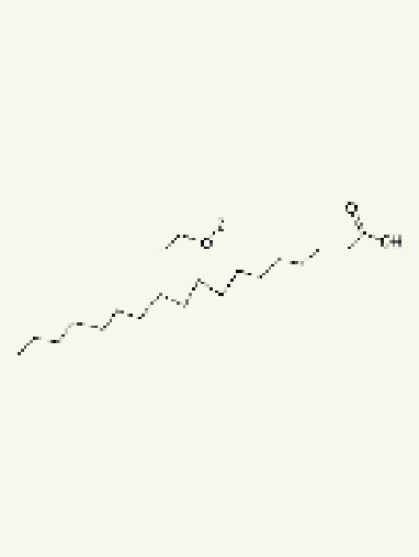 CCCCCCCCCCCCCCCCCC(=O)O.CC[O][Zr]